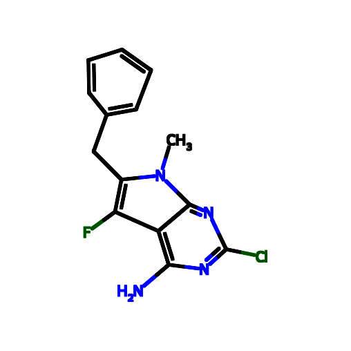 Cn1c(Cc2ccccc2)c(F)c2c(N)nc(Cl)nc21